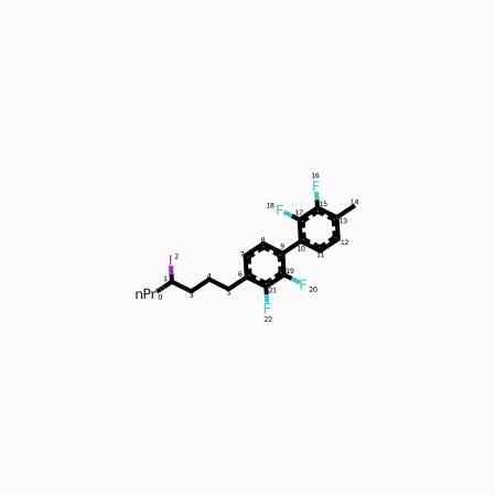 CCCC(I)CCCc1ccc(-c2ccc(C)c(F)c2F)c(F)c1F